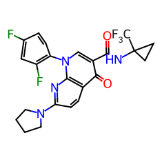 O=C(NC1(C(F)(F)F)CC1)c1cn(-c2ccc(F)cc2F)c2nc(N3CCCC3)ccc2c1=O